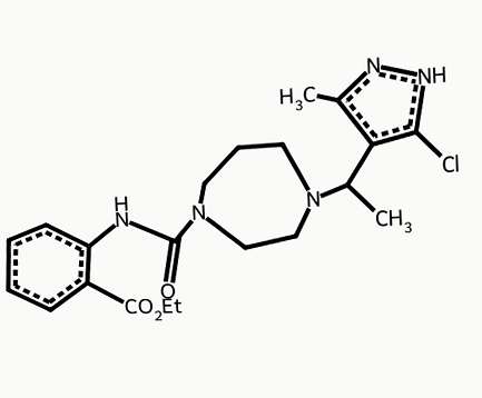 CCOC(=O)c1ccccc1NC(=O)N1CCCN(C(C)c2c(C)n[nH]c2Cl)CC1